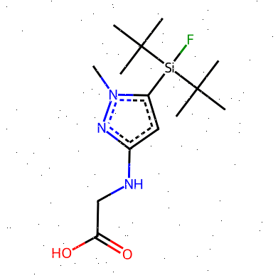 Cn1nc(NCC(=O)O)cc1[Si](F)(C(C)(C)C)C(C)(C)C